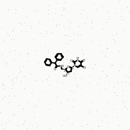 CCc1cn([C@H]2C[C@H](O)[C@@H](CNC(=O)C(c3ccccc3)c3ccccc3)O2)c(=O)[nH]c1=O